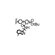 Cc1cccn2c(C(C)(C)NC(=O)[C@@H]3CN(C(=O)OC(C)(C)C)CCN3C3CCC(F)(F)CC3)ncc12